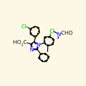 CN(C)C=O.Cc1ccc(Cl)cc1-n1c(-c2ccccc2)nc(C(=O)O)c1-c1cccc(Cl)c1